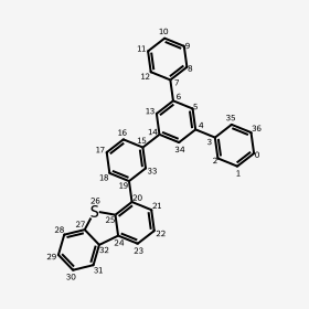 c1ccc(-c2cc(-c3ccccc3)cc(-c3cccc(-c4cccc5c4sc4ccccc45)c3)c2)cc1